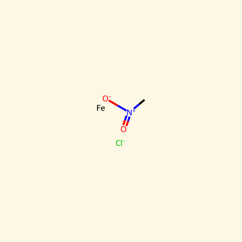 C[N+](=O)[O-].[Cl-].[Fe]